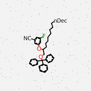 CCCCCCCCCCCCCCCCCCC(COC(c1ccccc1)(c1ccccc1)c1ccccc1)Oc1cc(F)cc(C#N)c1